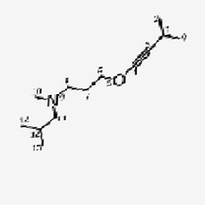 CC(C)C#COCCCN(C)CC(C)C